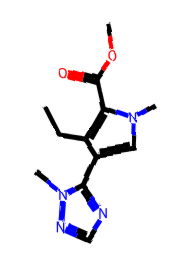 CCc1c(-c2ncnn2C)cn(C)c1C(=O)OC